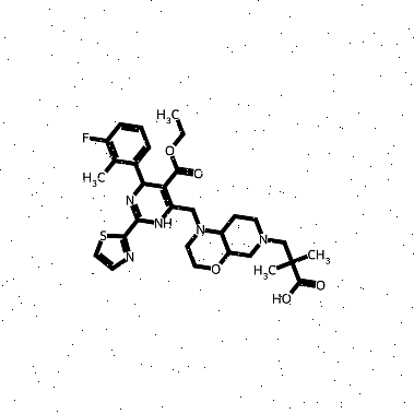 CCOC(=O)C1=C(CN2CCOC3CN(CC(C)(C)C(=O)O)CCC32)NC(c2nccs2)=NC1c1cccc(F)c1C